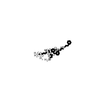 COC(=O)CC1OC(c2cccc(OCCCNCCCc3ccccc3)c2OC)c2cc(Cl)ccc2N(C(OC(=O)/C=C/C(=O)OC(C)(C)C)C(=O)O)C1=O